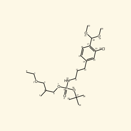 CCOCC(C)COP(=O)(NCCCc1ccc(C(OC)OC)c(Cl)c1)OC(C)(C)C